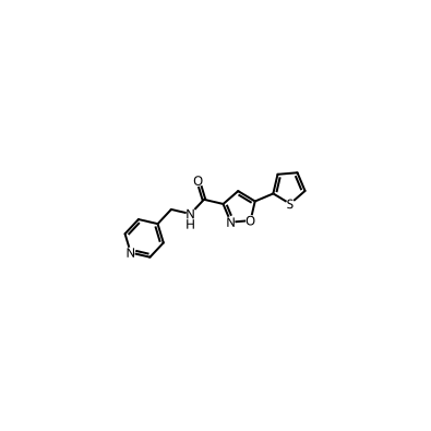 O=C(NCc1ccncc1)c1cc(-c2cccs2)on1